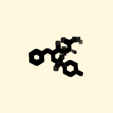 C[C@H](NC(=O)C(Cc1ccccc1)CS(=O)(=O)N1CCN(C)CC1)C(N)=O